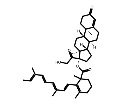 CC=C(C)C=CC=C(C)C=CC1=C(C)CCCC1(C)C(=O)O[C@@]1(C(=O)CO)CC[C@H]2[C@@H]3CCC4=CC(=O)CC[C@]4(C)[C@H]3CC[C@@]21C